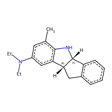 CCN(CC)c1cc(C)c2c(c1)[C@H]1Cc3ccccc3[C@H]1N2